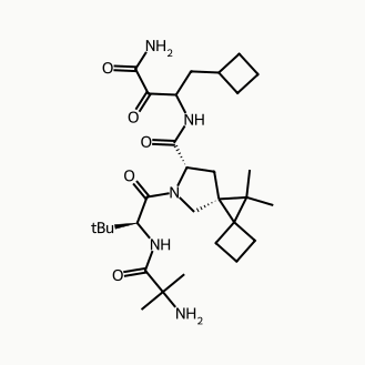 CC(C)(N)C(=O)N[C@H](C(=O)N1C[C@]2(C[C@H]1C(=O)NC(CC1CCC1)C(=O)C(N)=O)C(C)(C)C21CCC1)C(C)(C)C